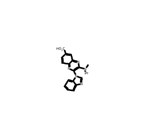 CC(C)N(C)c1nc2cc(C(=O)O)ccc2nc1-n1cnc2ccccc21